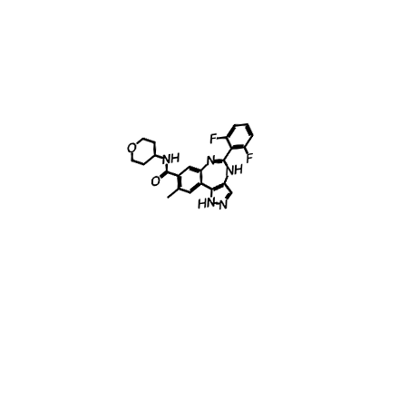 Cc1cc2c(cc1C(=O)NC1CCOCC1)N=C(c1c(F)cccc1F)Nc1cn[nH]c1-2